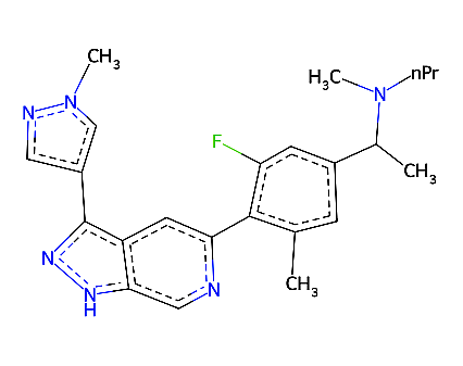 CCCN(C)C(C)c1cc(C)c(-c2cc3c(-c4cnn(C)c4)n[nH]c3cn2)c(F)c1